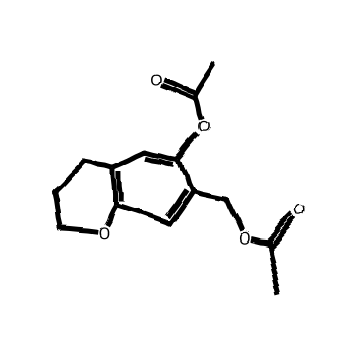 CC(=O)OCc1cc2c(cc1OC(C)=O)CCCO2